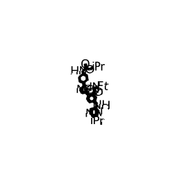 CCNS(=O)(=O)c1cc(Nc2cnc(C(C)C)cn2)ccc1-c1cnc(C2CCC(NC(=O)OC(C)C)CC2)s1